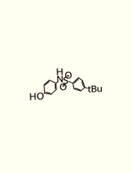 CC(C)(C)c1ccc(S(=O)(=O)Nc2ccc(O)cc2)cc1